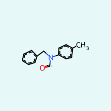 Cc1ccc(N([C]=O)Cc2ccccc2)cc1